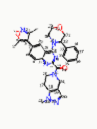 Cc1noc(C)c1-c1ccc2nc(C(=O)N3CCc4c(cnn4C)C3)nc(N3CCOCC3c3ccccc3)c2c1